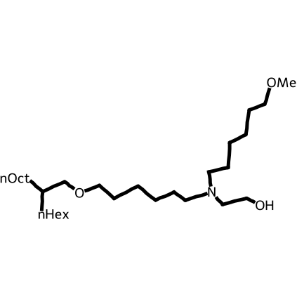 CCCCCCCCC(CCCCCC)COCCCCCCN(CCO)CCCCCCOC